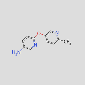 Nc1ccc(Oc2ccc(C(F)(F)F)nc2)nc1